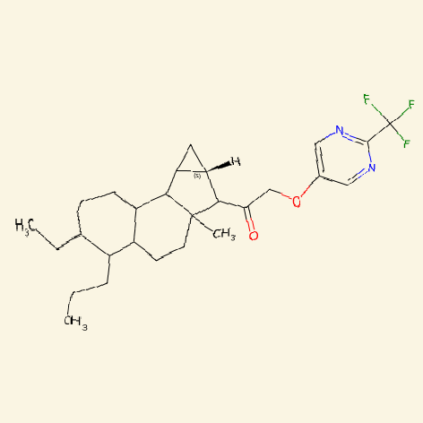 CCCC1C(CC)CCC2C1CCC1(C)C2C2C[C@@H]2C1C(=O)COc1cnc(C(F)(F)F)nc1